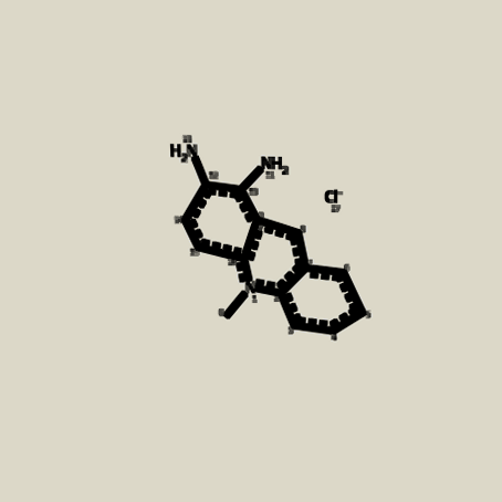 C[n+]1c2ccccc2cc2c(N)c(N)ccc21.[Cl-]